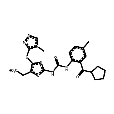 Cc1ccc(NC(=O)Nc2nc(CC(=O)O)c(Sc3nnnn3C)s2)c(C(=O)C2CCCC2)c1